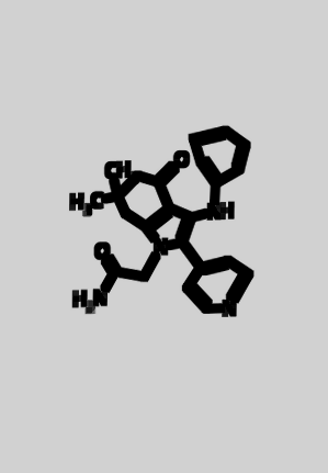 CC1(C)CC(=O)c2c(Nc3ccccc3)c(-c3ccncc3)n(CC(N)=O)c2C1